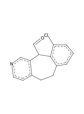 O=CC1c2cnccc2CCc2cccc(Cl)c21